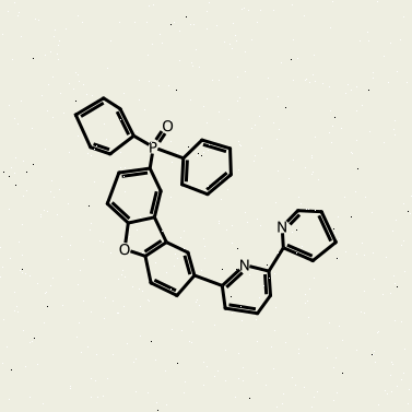 O=P(c1ccccc1)(c1ccccc1)c1ccc2oc3ccc(-c4cccc(-c5ccccn5)n4)cc3c2c1